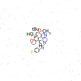 Cc1nc2c(c(-c3cc(F)c4c(c3C)CCCO4)c1[C@H](OC(C)(C)C)C(=O)O)CN(CCCc1ccc(F)cc1)CC2